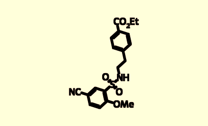 CCOC(=O)c1ccc(CCNS(=O)(=O)c2cc(C#N)ccc2OC)cc1